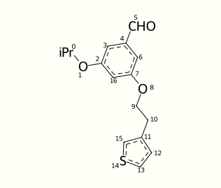 CC(C)Oc1cc(C=O)cc(OCCc2ccsc2)c1